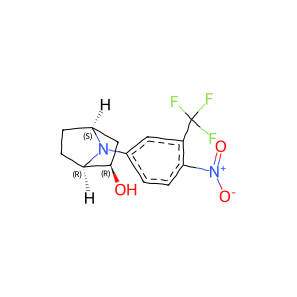 O=[N+]([O-])c1ccc(N2[C@H]3CC[C@@H]2[C@H](O)C3)cc1C(F)(F)F